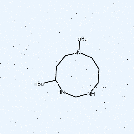 CCCCC1CCN(CCCC)CCCNCN1